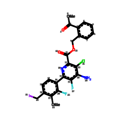 COC(=O)c1ccccc1COC(=O)c1nc(-c2ccc(CI)c(OC)c2F)c(F)c(N)c1Cl